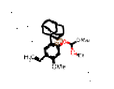 C=Cc1cc(C23CC4CC(CC(C4)C2(Br)Br)C3)c(OC(OC)OCC)cc1OC